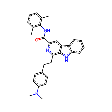 Cc1cccc(C)c1NC(=O)c1cc2c([nH]c3ccccc32)c(CCc2ccc(N(C)C)cc2)n1